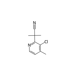 Cc1ccnc(C(C)(C)C#N)c1Cl